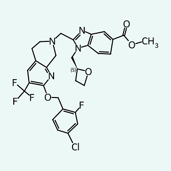 COC(=O)c1ccc2c(c1)nc(CN1CCc3cc(C(F)(F)F)c(OCc4ccc(Cl)cc4F)nc3C1)n2C[C@@H]1CCO1